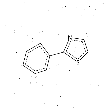 [c]1ccc(-c2nccs2)cc1